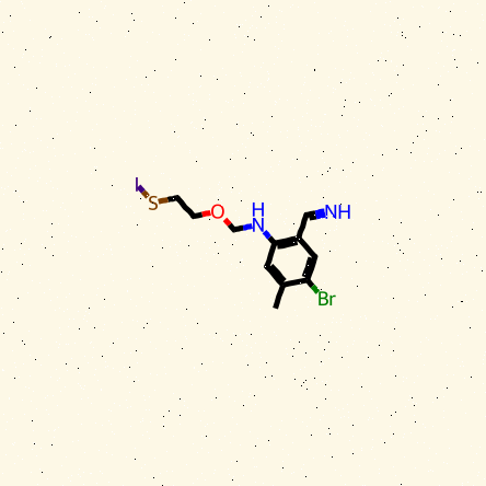 Cc1cc(NCOCCSI)c(C=N)cc1Br